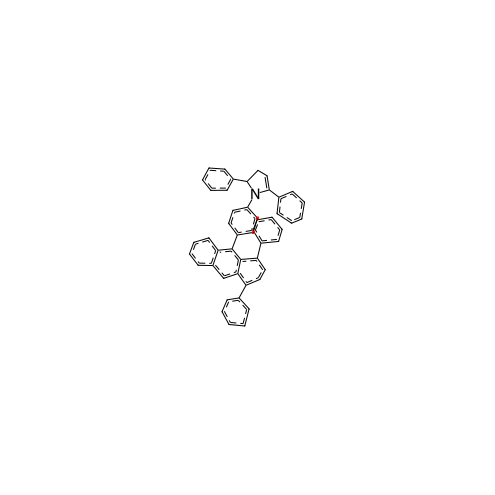 C1=C(c2ccccc2)N(c2ccc(-c3c4ccccc4cc4c(-c5ccccc5)ccc(-c5ccccc5)c34)cc2)C(c2ccccc2)C1